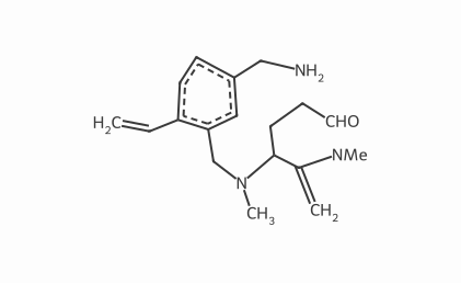 C=Cc1ccc(CN)cc1CN(C)C(CCC=O)C(=C)NC